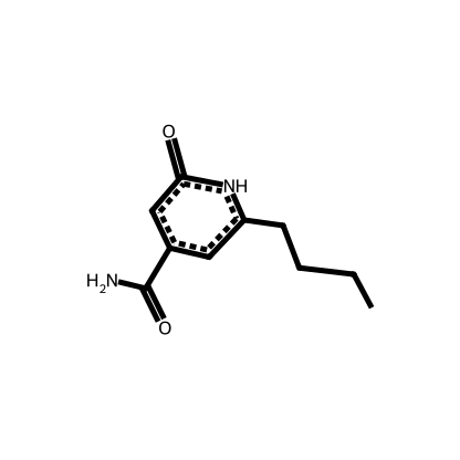 CCCCc1cc(C(N)=O)cc(=O)[nH]1